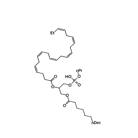 CC/C=C\C/C=C\C/C=C\C/C=C\C/C=C\C/C=C\CCC(=O)OC(COC(=O)CCCCCCCCCCCCCCC)COP(=O)(O)OCCC